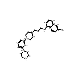 Clc1ccc2c(NCCCN3CCN(c4ccnc(N5CCOCC5)n4)CC3)ccnc2c1